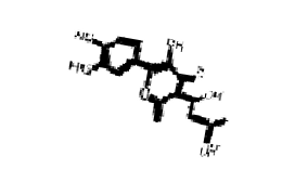 C=c1oc(-c2ccc(O)c(O)c2)c(O)c(=O)/c1=C(O)/C=C(\C)O